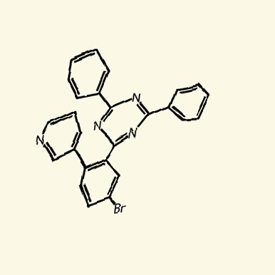 Brc1ccc(-c2cccnc2)c(-c2nc(-c3ccccc3)nc(-c3ccccc3)n2)c1